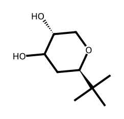 CC(C)(C)[C@H]1CC(O)[C@H](O)CO1